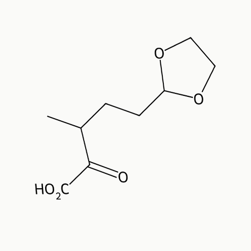 CC(CCC1OCCO1)C(=O)C(=O)O